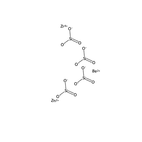 O=[Si]([O-])[O-].O=[Si]([O-])[O-].O=[Si]([O-])[O-].O=[Si]([O-])[O-].[Be+2].[Zn+2].[Zr+4]